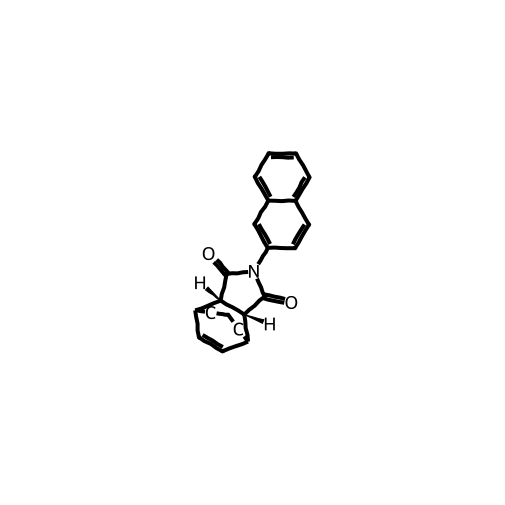 O=C1[C@@H]2C3C=CC(CCC3)[C@@H]2C(=O)N1c1ccc2ccccc2c1